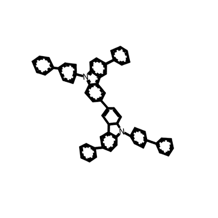 C1=CC2C(C=C1c1ccc3c(c1)c1cc(-c4ccccc4)ccc1n3-c1ccc(-c3ccccc3)cc1)c1cc(-c3ccccc3)ccc1N2c1ccc(-c2ccccc2)cc1